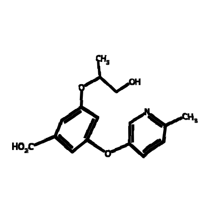 Cc1ccc(Oc2cc(OC(C)CO)cc(C(=O)O)c2)cn1